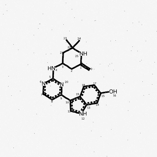 C=C1CC(Nc2nccc(-c3c[nH]c4cc(O)ccc34)n2)CC(C)(C)N1